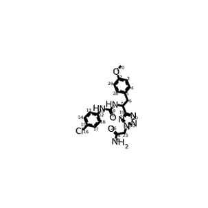 COc1ccc(CC(NC(=O)Nc2ccc(Cl)cc2)c2nnn(CC(N)=O)n2)cc1